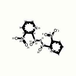 O=[N+]([O-])c1cccnc1[S+]([O-])S[S+]([O-])c1ncccc1[N+](=O)[O-]